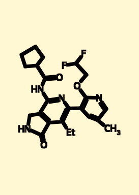 CCc1c(-c2cc(C)cnc2OCC(F)F)nc(NC(=O)C2CCCC2)c2c1C(=O)NC2